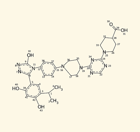 CC(C)c1cc(-c2nnc(O)n2-c2ccc(N3CCN(c4ncnc(N5CCC(C(=O)O)CC5)n4)CC3)cc2)c(O)cc1O